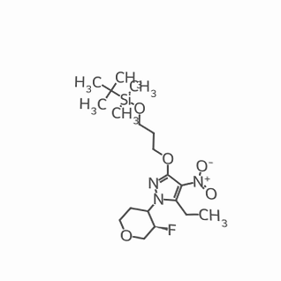 CCc1c([N+](=O)[O-])c(OCCCO[Si](C)(C)C(C)(C)C)nn1C1CCOC[C@@H]1F